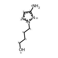 Nc1cnn(CCCCO)n1